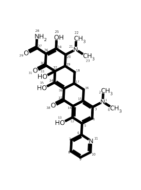 CN(C)c1cc(-c2ccccn2)c(O)c2c1CC1CC3C(N(C)C)C(O)=C(C(N)=O)C(=O)C3(O)C(O)=C1C2=O